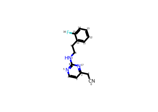 N#CCc1ccnc(NCCc2ccccc2F)n1